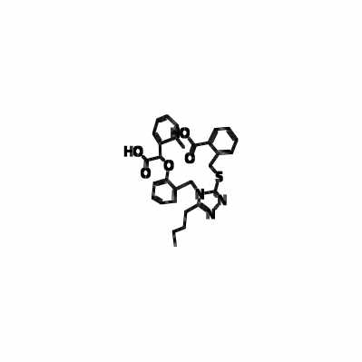 CCCCc1nnc(SCc2ccccc2C(=O)O)n1Cc1ccccc1OC(C(=O)O)c1ccccc1C